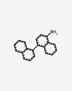 Bc1ccc(-c2cccc3ccccc23)c2ccccc12